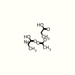 CC(=O)[O-].CCC(=O)O.CCC(=O)O.[Na+]